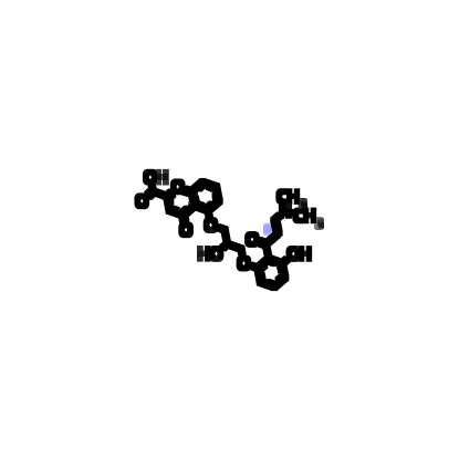 CN(C)/C=C/C(=O)c1c(O)cccc1OCC(O)COc1cccc2oc(C(=O)O)cc(=O)c12